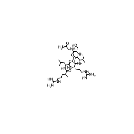 CC(C)C[C@H](NC(=O)[C@@H](C)CCCNC(=N)N)C(=O)N[C@@H](CCCNC(=N)N)C(=O)N[C@H](C(=O)N[C@@H](CO)C(=O)NCC(N)=O)C(C)C